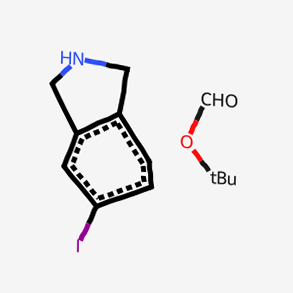 CC(C)(C)OC=O.Ic1ccc2c(c1)CNC2